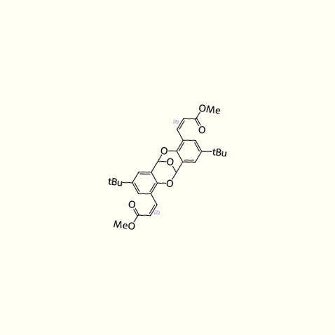 COC(=O)/C=C\c1cc(C(C)(C)C)cc2c1OC1OC2Oc2c(/C=C\C(=O)OC)cc(C(C)(C)C)cc21